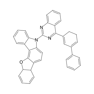 C1=CC2Oc3c(ccc4c3c3ccccc3n4-c3nc(C4=CC(c5ccccc5)=CCC4)c4ccccc4n3)C2C=C1